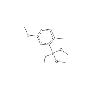 COc1ccc(C)c([Si](OC)(OC)OC)c1